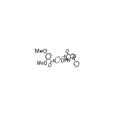 COc1ccc(C(=O)N2CCC(O)(Cn3cnc4c(cnn4-c4ccccc4)c3=O)CC2)c(OC)c1